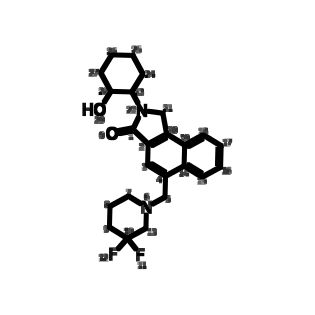 O=C1c2cc(CN3CCCC(F)(F)C3)c3ccccc3c2CN1C1CCCCC1O